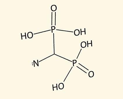 [N]C(P(=O)(O)O)P(=O)(O)O